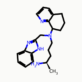 C[C@@H](N)CCCN(Cc1nc2ccccc2[nH]1)C1CCCc2cccnc21